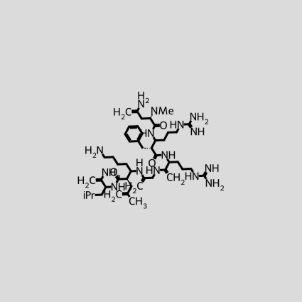 C=C(C)C[C@@H](C(=O)NC(CC(C)C)C(=C)N)C(CCCCN)NC(=C)CNC(=C)C(CCCNC(=N)N)NC(=O)[C@H](Cc1ccccc1)C(CCCNC(=N)N)NC(=O)[C@H](CC(=C)N)NC